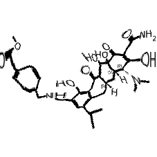 COC(=O)c1ccc(CNCc2cc(C(C)C)c3c(c2O)C(=O)C2=C(O)[C@]4(O)C(=O)C(C(N)=O)=C(O)[C@H](N(C)C)[C@@H]4C[C@@H]2C3)cc1